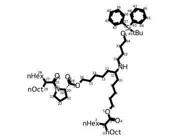 CCCCCCCCC(CCCCCC)C(=O)OCCCCCC(CCCCCOC(=O)[C@@H]1CCCN1C(=O)C(CCCCCC)CCCCCCCC)NCCCCO[Si](c1ccccc1)(c1ccccc1)C(C)(C)C